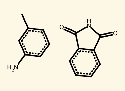 Cc1cccc(N)c1.O=C1NC(=O)c2ccccc21